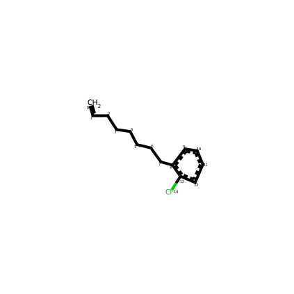 C=CCCCCCCc1ccccc1Cl